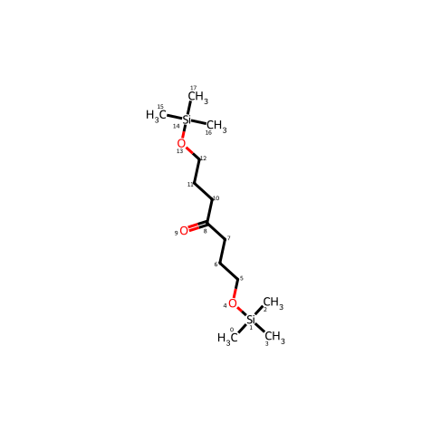 C[Si](C)(C)OCCCC(=O)CCCO[Si](C)(C)C